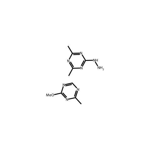 COc1ncnc(C)n1.Cc1nc(C)nc(NN)n1